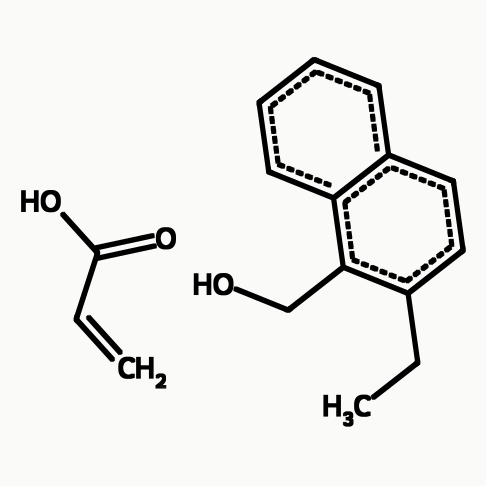 C=CC(=O)O.CCc1ccc2ccccc2c1CO